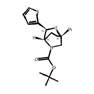 CC(C)(C)OC(=O)N1C[C@@H]2C[C@H]1[C@@H](c1cccs1)O2